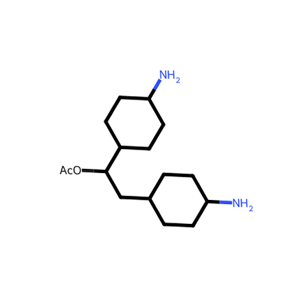 CC(=O)OC(CC1CCC(N)CC1)C1CCC(N)CC1